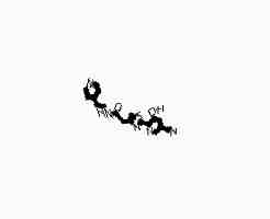 N#Cc1cnc(-c2nc(CC(=O)NCCc3ccncc3)cs2)c(O)c1